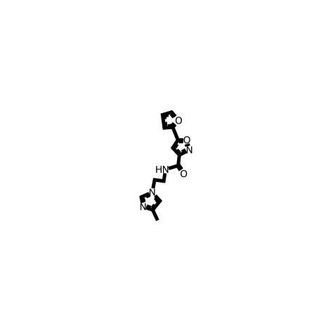 Cc1cn(CCNC(=O)c2cc(-c3ccco3)on2)cn1